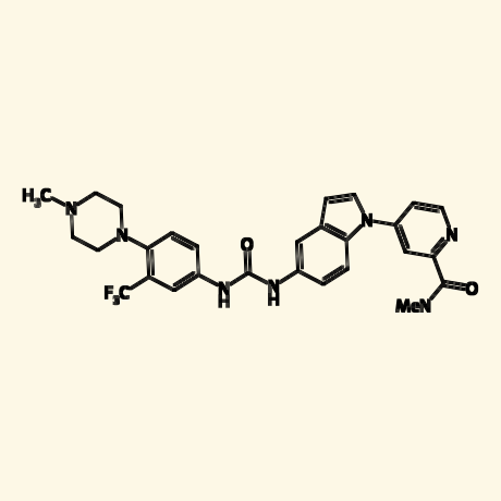 CNC(=O)c1cc(-n2ccc3cc(NC(=O)Nc4ccc(N5CCN(C)CC5)c(C(F)(F)F)c4)ccc32)ccn1